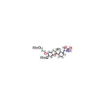 COCCCOc1cc(CC(C(=O)c2cccc(C3COC(=O)N3)c2)C(C)C)ccc1OC